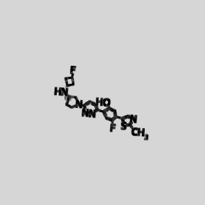 Cc1ncc(-c2cc(O)c(-c3ccc(N4CC[C@H](N[C@H]5C[C@H](F)C5)C4)nn3)cc2F)s1